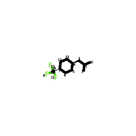 CC(C)C[C@H]1CC[C@H](C(F)(F)F)CC1